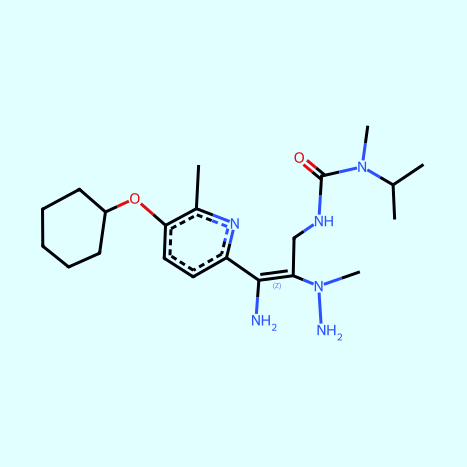 Cc1nc(/C(N)=C(\CNC(=O)N(C)C(C)C)N(C)N)ccc1OC1CCCCC1